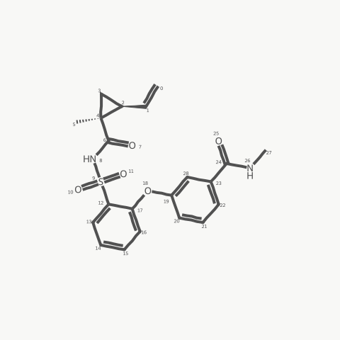 C=C[C@@H]1C[C@]1(C)C(=O)NS(=O)(=O)c1ccccc1Oc1cccc(C(=O)NC)c1